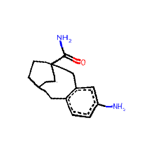 NC(=O)C12[CH]C(CC1)Cc1ccc(N)cc1C2